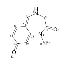 CCCN1C(=O)CNC=C2C=CC(=O)C=C21